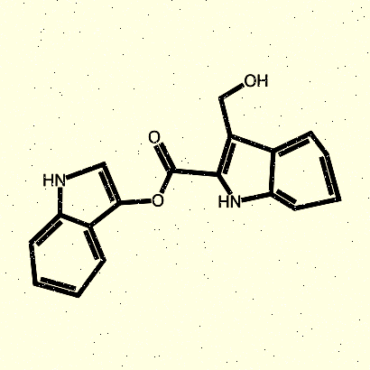 O=C(Oc1c[nH]c2ccccc12)c1[nH]c2ccccc2c1CO